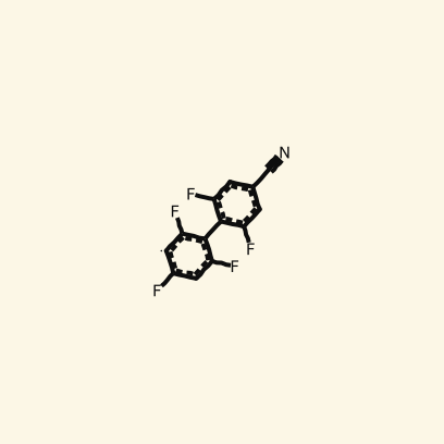 N#Cc1cc(F)c(-c2c(F)[c]c(F)cc2F)c(F)c1